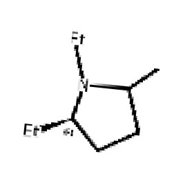 CC[C@@H]1CCC(C)N1CC